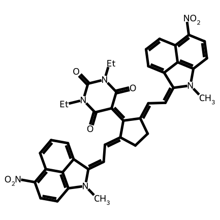 CCN1C(=O)C(=C2/C(=C/C=c3\c4cccc5c([N+](=O)[O-])ccc(c54)n3C)CC/C2=C\C=c2/c3cccc4c([N+](=O)[O-])ccc(c43)n2C)C(=O)N(CC)C1=O